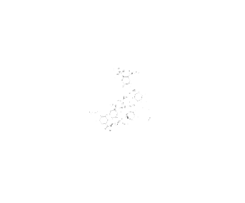 C=CCCCCc1cc[c]([Sn]([CH3])([CH3])[CH3])cc1.CC(C)[Si]([CH2][Sn]([CH3])([CH3])[c]1ccccc1)(C(C)C)C(C)C.CCC[CH2][Sn]([CH2]CCC)([CH2]CCC)[c]1cccc(OC)c1.COc1cc[c]([Sn]([CH3])([CH3])[CH3])cc1.COc1cccc[c]1[Sn]([CH3])([CH3])[CH3]